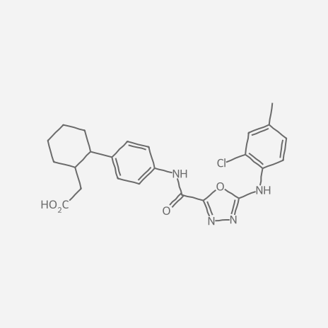 Cc1ccc(Nc2nnc(C(=O)Nc3ccc(C4CCCCC4CC(=O)O)cc3)o2)c(Cl)c1